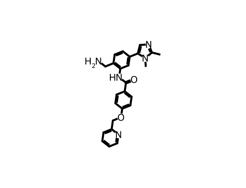 Cc1ncc(-c2ccc(CN)c(NC(=O)c3ccc(OCc4ccccn4)cc3)c2)n1C